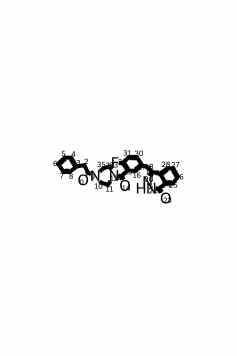 O=C(Cc1ccccc1)N1CCN(C(=O)c2cc(Cc3n[nH]c(=O)c4ccccc34)ccc2F)CC1